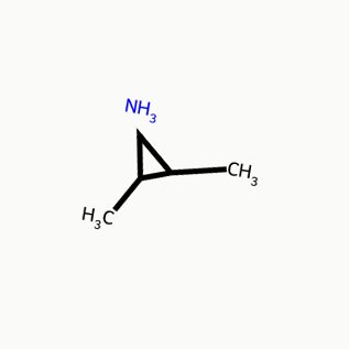 CC1CC1C.N